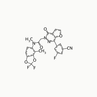 Cc1c(N(C)C(=O)Cn2nc(-c3cc(F)cc(C#N)c3)c3occc3c2=O)ccc2c1OC(F)(F)O2